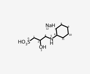 O=S(=O)(O)CC(O)CNC1CCCCC1.[NaH]